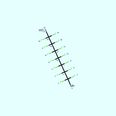 CCCC(F)(F)C(F)(F)C(F)(F)C(F)(F)C(F)(F)C(F)(F)C(F)(F)S(=O)(=O)O